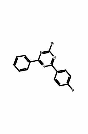 Fc1ccc(-c2nc(Br)nc(-c3ccccc3)n2)cc1